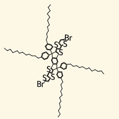 CCCCCCCCCCCCc1ccc(C2(c3ccc(CCCCCCCCCCCC)cc3)c3cc4c(cc3-c3sc5c(sc6cc(Br)sc65)c32)C(c2ccc(CCCCCCCCCCCC)cc2)(c2ccc(CCCCCCCCCCCC)cc2)c2c-4sc3c2sc2cc(Br)sc23)cc1